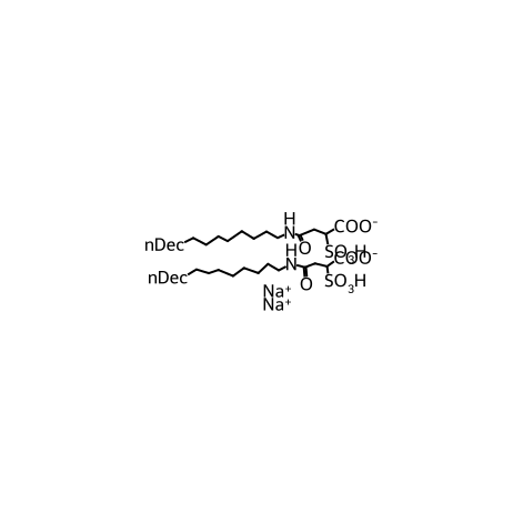 CCCCCCCCCCCCCCCCCCNC(=O)CC(C(=O)[O-])S(=O)(=O)O.CCCCCCCCCCCCCCCCCCNC(=O)CC(C(=O)[O-])S(=O)(=O)O.[Na+].[Na+]